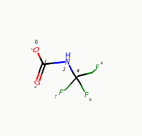 [O]C(=O)NC(F)(F)F